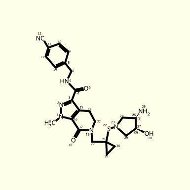 Cn1nc(C(=O)NCc2ccc(C#N)cc2)c2c1C(=O)N(CC1(SN3C[C@H](N)[C@@H](O)C3)CC1)CC2